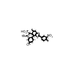 Cc1cc2nc(-c3ccc(F)c([N+](=O)[O-])c3)sc2c(-c2ccc(Cl)cc2)c1C(OC(C)(C)C)C(=O)O